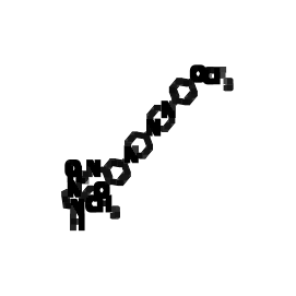 CC1(COc2ccc(N3CCC(N4CCN(c5ccc(OC(F)(F)F)cc5)CC4)CC3)cc2[N+](=O)[O-])NC=CN1